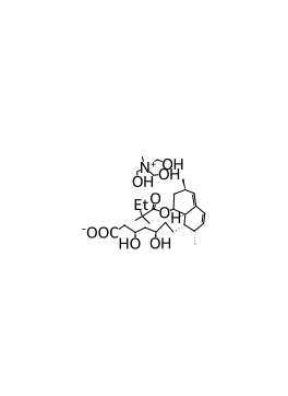 CCC(C)(C)C(=O)O[C@H]1C[C@@H](C)C=C2C=C[C@H](C)[C@H](CC[C@@H](O)C[C@@H](O)CC(=O)[O-])[C@H]21.C[N+](CO)(CO)CO